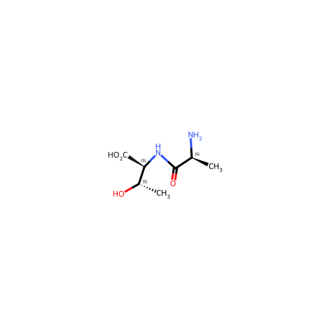 C[C@H](N)C(=O)N[C@H](C(=O)O)[C@H](C)O